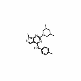 Cc1ccc(Nc2nc(N3CC(C)CC(C)C3)nc3c2cnn3C)cc1